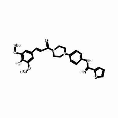 CCCCOc1cc(C=CC(=O)N2CCN(c3ccc(NC(=N)c4cccs4)cc3)CC2)cc(OCCCC)c1O